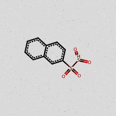 O=[SH](=O)S(=O)(=O)c1ccc2ccccc2c1